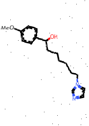 COc1ccc(C(O)CCCCCCn2ccnc2)cc1